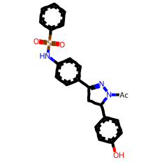 CC(=O)N1N=C(c2ccc(NS(=O)(=O)c3ccccc3)cc2)CC1c1ccc(O)cc1